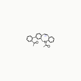 CC(=O)c1ccccc1-c1ccc2c(c1)CN(C(C)=O)c1ccccc1/C=C\2